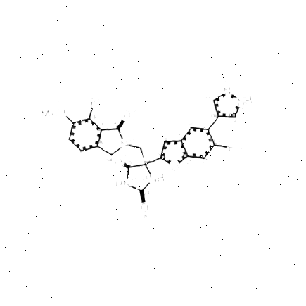 COc1ccc2c(c1F)C(=O)N(C[C@@]1(c3cc4cc(-c5cn[nH]c5)c(F)cc4o3)NC(=O)NC1=O)C2